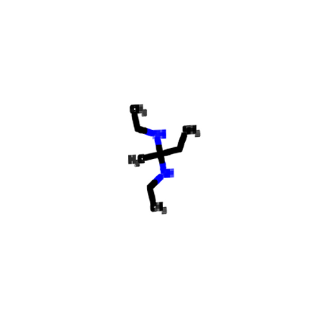 CCNC(C)(C[SiH3])NCC